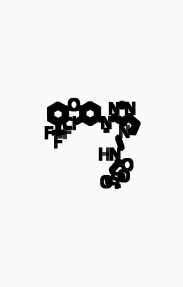 CN(c1ccc(Oc2cccc(C(F)(F)F)c2)c(Cl)c1)c1ncnc2ccn(CCNC(=O)CS(C)(=O)=O)c12